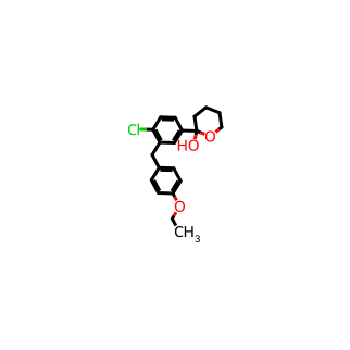 CCOc1ccc(Cc2cc(C3(O)CCCCO3)ccc2Cl)cc1